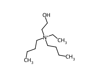 CCCC[N+](CC)(CCO)CCCC